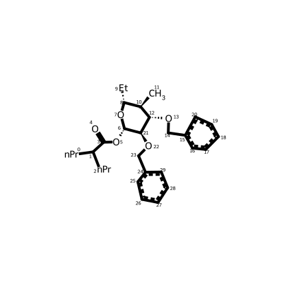 CCCC(CCC)C(=O)O[C@@H]1O[C@H](CC)[C@@H](C)[C@H](OCc2ccccc2)[C@H]1OCc1ccccc1